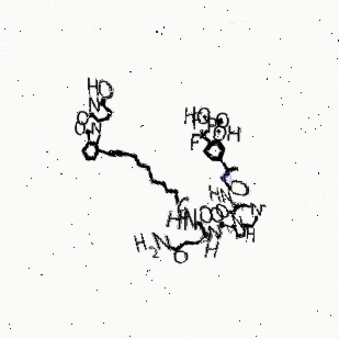 C/C(=C\C(=O)N[C@H]1CN(C)CC[C@H]2CC[C@@H](C(=O)N[C@@H](CCC(N)=O)C(=O)NCCCCCCCCCC#Cc3cccc4c3CN(C3CCC(=O)NC3=O)C4=O)N2C1=O)c1ccc(C(F)(F)P(=O)(O)O)cc1